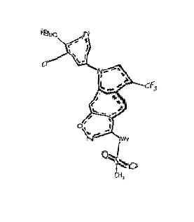 CC(C)COc1ncc(-n2cc(C(F)(F)F)c3cc4c(NS(C)(=O)=O)noc4cc32)cc1Cl